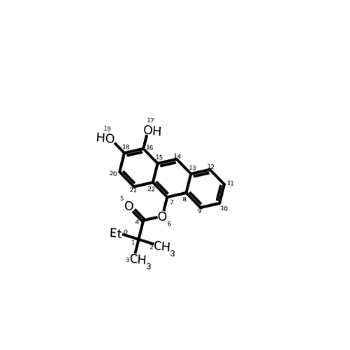 CCC(C)(C)C(=O)Oc1c2ccccc2cc2c(O)c(O)ccc12